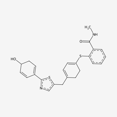 CNC(=O)c1ccccc1SC1=CC=C(Cc2cnc(C3=CCC(O)C=C3)s2)CC1